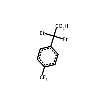 CCC(CC)(C(=O)O)c1ccc(C(F)(F)F)cc1